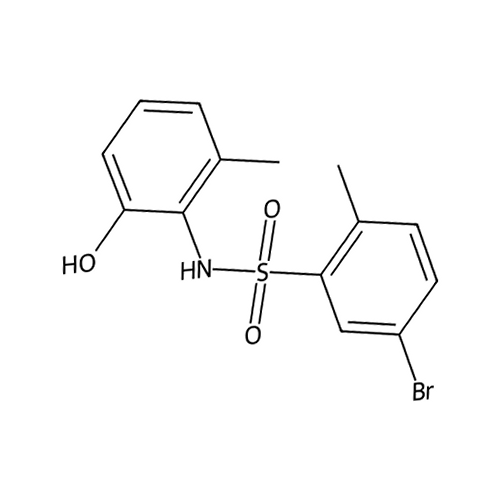 Cc1ccc(Br)cc1S(=O)(=O)Nc1c(C)cccc1O